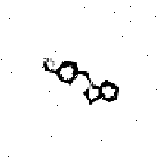 CCc1ccc(CN2[CH]Cc3ccccc32)cc1